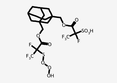 O=C(OCC12CC3CC(C1)CC(COC(=O)C(F)(C(F)(F)F)S(=O)(=O)O)(C3)C2)C(F)(SOOO)C(F)(F)F